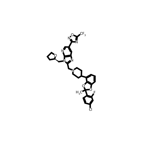 CC1(c2ccc(Cl)cc2F)Oc2cccc(C3CCN(Cc4nc5cc(-c6noc(C(F)(F)F)n6)cnc5n4C[C@H]4CCCO4)CC3)c2O1